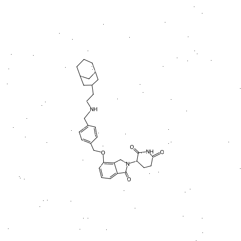 O=C1CCC(N2Cc3c(OCc4ccc(CNCCC5CC6CCCC(C6)C5)cc4)cccc3C2=O)C(=O)N1